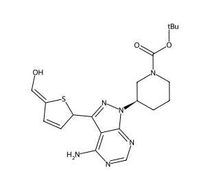 CC(C)(C)OC(=O)N1CCC[C@@H](n2nc(C3C=CC(=CO)S3)c3c(N)ncnc32)C1